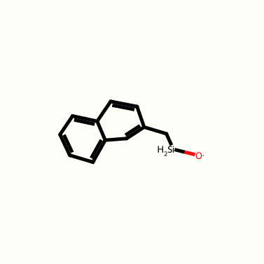 [O][SiH2]Cc1ccc2ccccc2c1